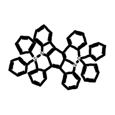 c1ccc([Si]2(c3ccccc3)c3ccccc3-c3c4c5ccccc5n5c4c(c4c6ccccc6n2c34)-c2ccccc2[Si]5(c2ccccc2)c2ccccc2)cc1